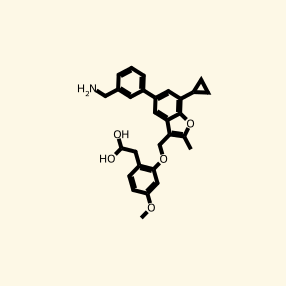 COc1ccc(CC(O)O)c(OCc2c(C)oc3c(C4CC4)cc(-c4cccc(CN)c4)cc23)c1